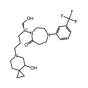 O=C1CCN(c2cccc(C(F)(F)F)c2)CCN1[C@H](CO)CCCN1CCC2(CC2)C(O)C1